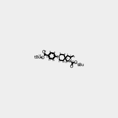 CC1CC2(CCN(c3ccc(C(=O)OC(C)(C)C)cc3)CC2)CN1C(=O)OC(C)(C)C